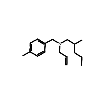 C=CCN(Cc1ccc(C)cc1)CC(C)CCC